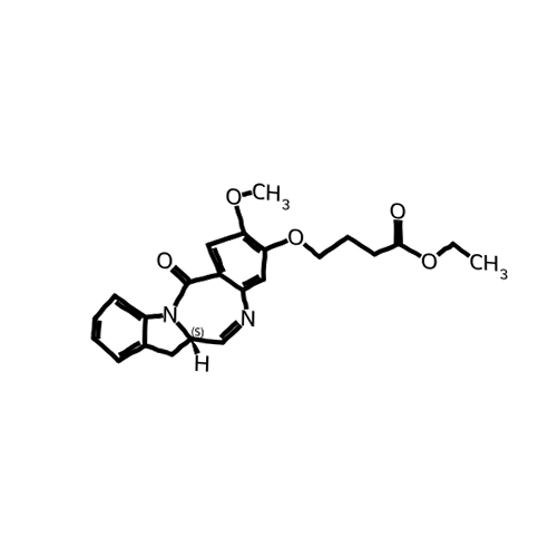 CCOC(=O)CCCOc1cc2c(cc1OC)C(=O)N1c3ccccc3C[C@H]1C=N2